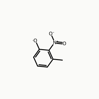 Cc1cccc([O])c1[N+](=O)[O-]